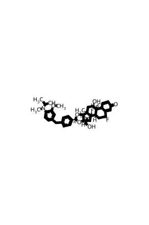 COc1cc(Cc2ccc([C@@H]3O[C@@H]4C[C@@]5(F)[C@@H]6C[C@H](F)C7=CC(=O)C=C[C@]7(C)[C@@]6(F)[C@@H](O)C[C@]5(C)[C@]4(C(=O)CO)O3)cc2)ccc1N(C)C(C)C